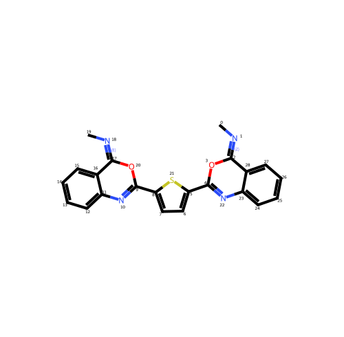 C/N=c1\oc(-c2ccc(-c3nc4ccccc4/c(=N\C)o3)s2)nc2ccccc12